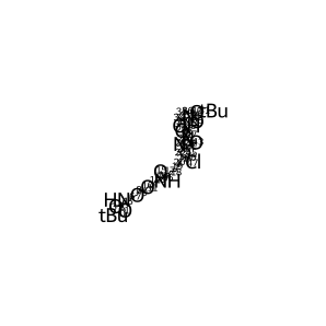 CC(C)(C)OC(=O)NCCOCCOCCNC(=O)CCCC#Cc1cc2ncn(CC(=O)CC3C(O)CCCN3C(=O)OC(C)(C)C)c(=O)c2cc1Cl